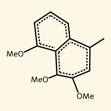 COc1cc(C)c2cccc(OC)c2c1OC